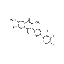 COc1cc2[nH]c(C)c(-c3ccc(-c4ccc(F)c(F)c4F)cc3)c(=O)c2cc1F